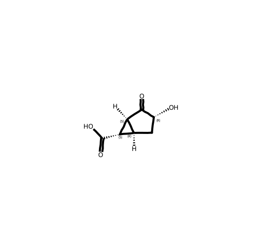 O=C(O)[C@H]1[C@@H]2C[C@@H](O)C(=O)[C@@H]21